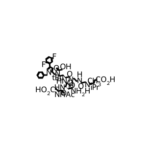 CC(=O)N[C@H](CC(=O)O)C(=O)N[C@@H](CC(N)=O)C(=O)N[C@@H](CCN(C(=O)CO)[C@@H](c1cc(-c2cc(F)ccc2F)cn1Cc1ccccc1)C(C)(C)C)C(=O)NCCNC(=O)CNC(C)(CCC(=O)O)C(C)C